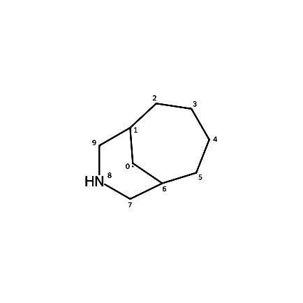 [CH]1C2CCCCC1CNC2